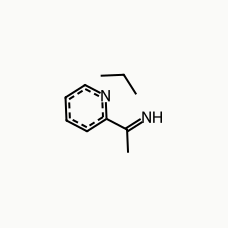 CC(=N)c1ccccn1.CCC